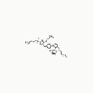 CCCCCc1ccn(-c2ccc(Cn3nc(C(F)(F)CCCC)nc3CCCC)cc2)c1-c1nnn[nH]1